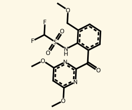 COCc1cccc(C(=O)c2nc(OC)cc(OC)n2)c1NS(=O)(=O)C(F)F